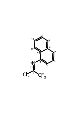 FC(F)(F)/C(Cl)=N\c1cccc2ccccc12